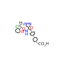 CC(OC(=O)Nc1c(-c2ccc(-c3ccc(CC(=O)O)cc3)cc2)oc2ncncc12)c1ccccc1Cl